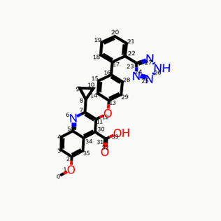 COc1ccc2nc(C3CC3)c(Oc3ccc(-c4ccccc4-c4nn[nH]n4)cc3)c(C(=O)O)c2c1